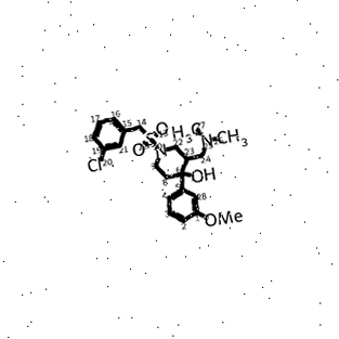 COc1cccc(C2(O)CCN(S(=O)(=O)Cc3cccc(Cl)c3)CC2CN(C)C)c1